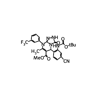 COC(=O)C1=C(C)N(c2cccc(C(F)(F)F)c2)c2n[nH]c(=O)n2C1c1ccc(C#N)cc1NC(=O)OC(C)(C)C